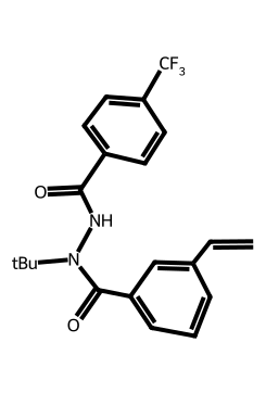 C=Cc1cccc(C(=O)N(NC(=O)c2ccc(C(F)(F)F)cc2)C(C)(C)C)c1